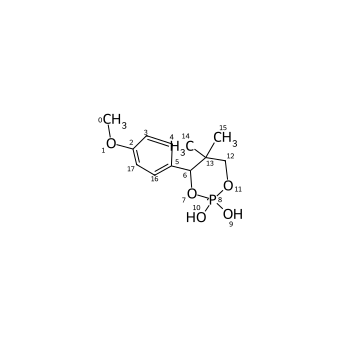 COc1ccc(C2O[P](O)(O)OCC2(C)C)cc1